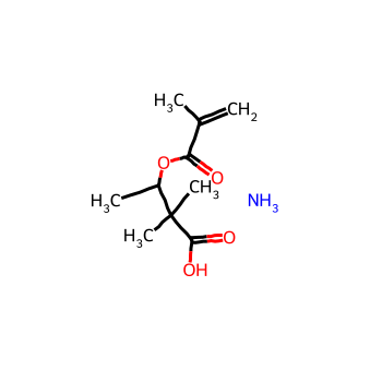 C=C(C)C(=O)OC(C)C(C)(C)C(=O)O.N